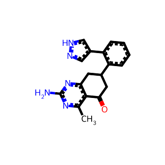 Cc1nc(N)nc2c1C(=O)CC(c1ccccc1-c1cn[nH]c1)C2